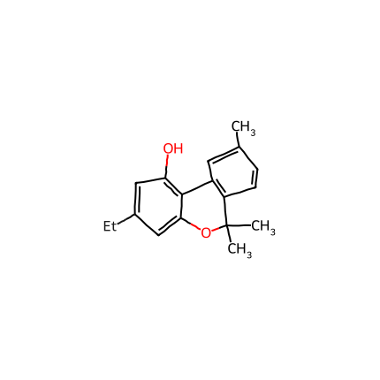 CCc1cc(O)c2c(c1)OC(C)(C)c1ccc(C)cc1-2